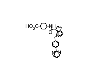 O=C(NC1CCC(C(=O)O)CC1)c1csc2ccn(Cc3ccc(-c4ncccn4)cc3)c12